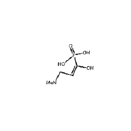 CNCC=C(O)P(=O)(O)O